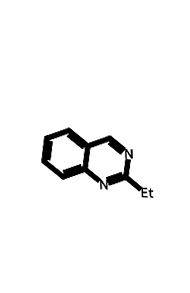 [CH2]Cc1ncc2ccccc2n1